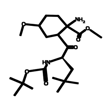 COC(=O)C1(N)CCC(OC)CC1C(=O)[C@@H](CC(C)(C)C)NC(=O)OC(C)(C)C